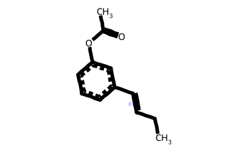 CC/C=C/c1cccc(OC(C)=O)c1